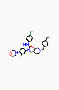 CCc1ccc(CN2CCC(CN(C(=O)Nc3ccc(Cl)cc3)c3ccc(N4CCOCC4)c(F)c3)CC2)cc1